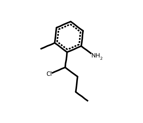 CCCC(Cl)c1c(C)cccc1N